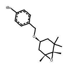 CC(C)(C)c1ccc(CO[C@H]2CC(C)(C)[C@]3(C)O[C@]3(C)C2)cc1